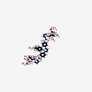 COC(=O)N[C@H](C(=O)N1CCC[C@H]1C(=O)Nc1ccc([C@@H]2CC[C@@H](c3ccc(NC(=O)[C@@H]4CCCN4C(=O)[C@@H](NC(=O)OC)C(C)(C)C)cc3)N2c2ccc(C(C)(C)C)cc2)cc1)C(C)(C)C